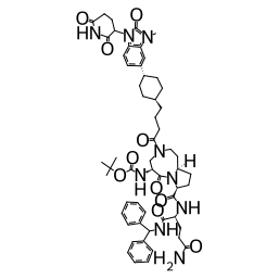 Cn1c(=O)n(C2CCC(=O)NC2=O)c2ccc([C@H]3CC[C@H](CCCC(=O)N4CC[C@H]5CC[C@@H](C(=O)N[C@@H](CCC(N)=O)C(=O)NC(c6ccccc6)c6ccccc6)N5C(=O)[C@@H](NC(=O)OC(C)(C)C)C4)CC3)cc21